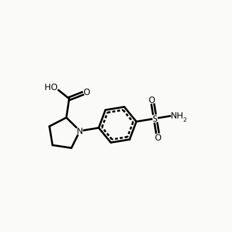 NS(=O)(=O)c1ccc(N2CCCC2C(=O)O)cc1